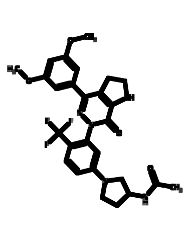 COc1cc(OC)cc(-c2nn(-c3cc(N4CCC(NC(C)=O)C4)ccc3C(F)(F)F)c(=O)c3c2CCN3)c1